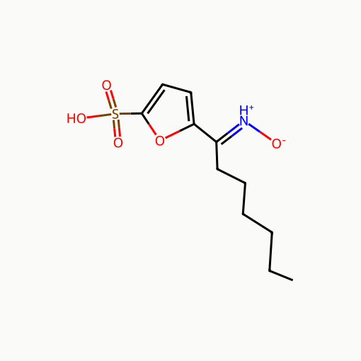 CCCCCCC(=[NH+][O-])c1ccc(S(=O)(=O)O)o1